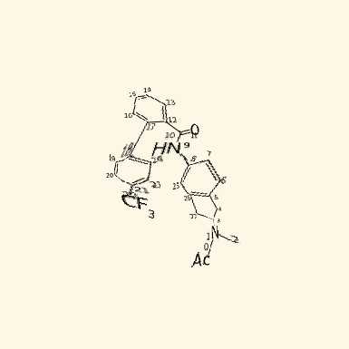 CC(=O)N(C)C1Cc2ccc(NC(=O)c3ccccc3-c3ccc(C(F)(F)F)cc3)cc2C1